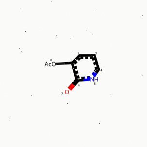 CC(=O)Oc1ccc[nH]c1=O